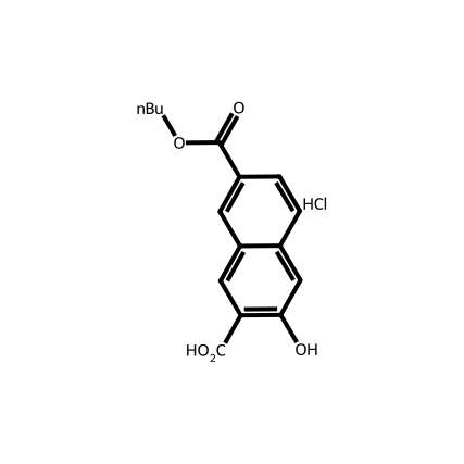 CCCCOC(=O)c1ccc2cc(O)c(C(=O)O)cc2c1.Cl